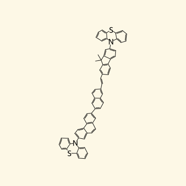 CC1(C)c2cc(/C=C/c3ccc4cc(-c5ccc6c(ccc7cc(N8c9ccccc9Sc9ccccc98)ccc76)c5)ccc4c3)ccc2-c2ccc(N3c4ccccc4Sc4ccccc43)cc21